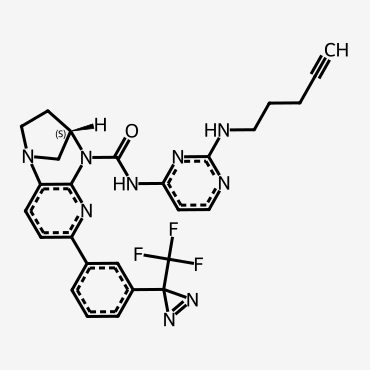 C#CCCCNc1nccc(NC(=O)N2c3nc(-c4cccc(C5(C(F)(F)F)N=N5)c4)ccc3N3CC[C@H]2C3)n1